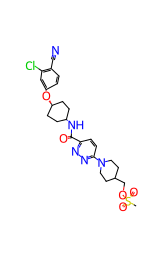 CS(=O)(=O)OCC1CCN(c2ccc(C(=O)N[C@H]3CC[C@H](Oc4ccc(C#N)c(Cl)c4)CC3)nn2)CC1